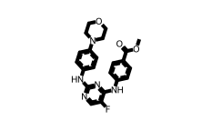 COC(=O)c1ccc(Nc2nc(Nc3ccc(N4CCOCC4)cc3)ncc2F)cc1